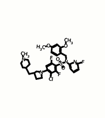 COc1ccc(CN(c2cccc(F)n2)S(=O)(=O)c2c(F)cc(N3CCC(CC4CCN(C)CC4)C3)c(Cl)c2F)c(OC)c1